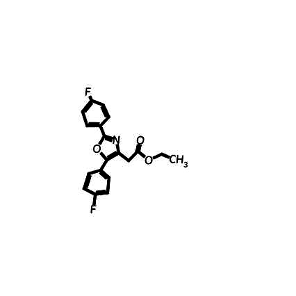 CCOC(=O)Cc1nc(-c2ccc(F)cc2)oc1-c1ccc(F)cc1